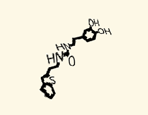 O=C(NCCc1ccc(O)c(O)c1)NCCc1cc2ccccc2s1